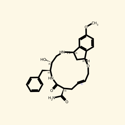 COc1ccc2c(c1)[C@@H]1C[C@H]2OC/C=C/C[C@@H](C(N)=O)C(=O)N[C@@H](Cc2ccccc2)[C@H](O)CN1